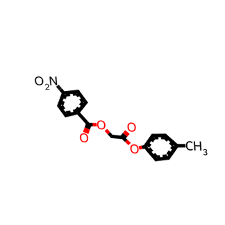 Cc1ccc(OC(=O)COC(=O)c2ccc([N+](=O)[O-])cc2)cc1